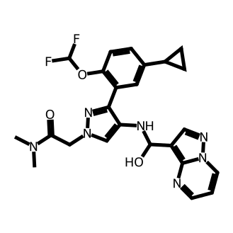 CN(C)C(=O)Cn1cc(NC(O)c2cnn3cccnc23)c(-c2cc(C3CC3)ccc2OC(F)F)n1